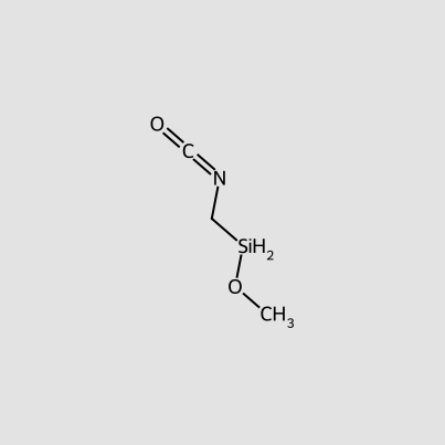 CO[SiH2]CN=C=O